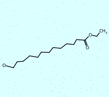 CCOC(=O)CCCCCCCCCCCC[O]